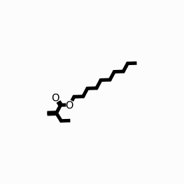 C=C(CC)C(=O)OCCCCCCCCCC